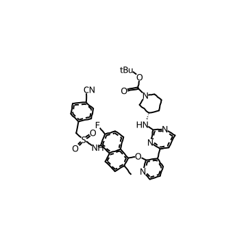 Cc1ccc2c(NS(=O)(=O)Cc3ccc(C#N)cc3)c(F)ccc2c1Oc1ncccc1-c1ccnc(N[C@H]2CCCN(C(=O)OC(C)(C)C)C2)n1